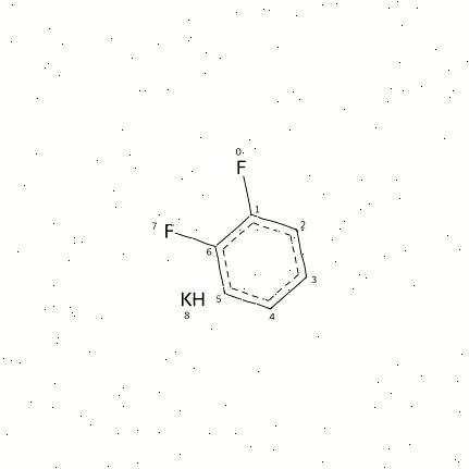 Fc1[c]cccc1F.[KH]